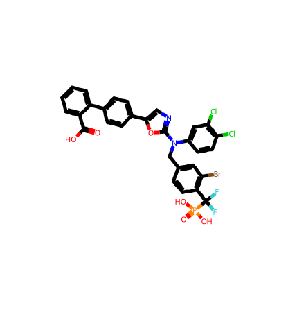 O=C(O)c1ccccc1-c1ccc(-c2cnc(N(Cc3ccc(C(F)(F)P(=O)(O)O)c(Br)c3)c3ccc(Cl)c(Cl)c3)o2)cc1